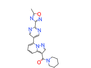 Cc1nc(-c2ncc(-c3cccc4c(C(=O)N5CCCCC5)cnn34)cn2)no1